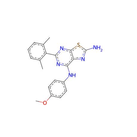 COc1ccc(Nc2nc(-c3c(C)cccc3C)nc3sc(N)nc23)cc1